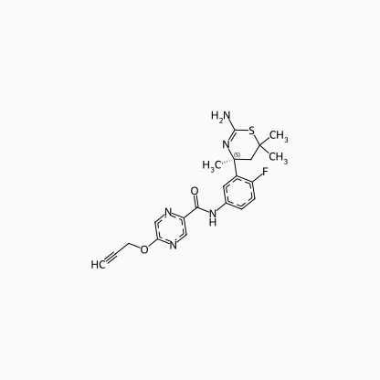 C#CCOc1cnc(C(=O)Nc2ccc(F)c([C@]3(C)CC(C)(C)SC(N)=N3)c2)cn1